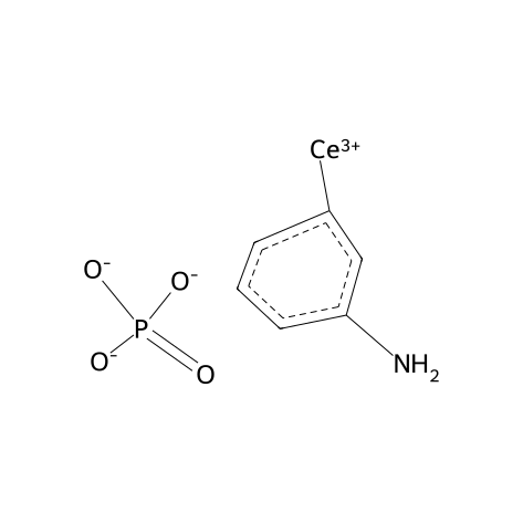 Nc1ccc[c]([Ce+3])c1.O=P([O-])([O-])[O-]